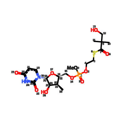 COP(=O)(OCCSC(=O)C(C)(C)CO)OC[C@H]1O[C@@H](n2ccc(=O)[nH]c2=O)[C@H](O)[C@@H]1C